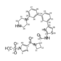 CS(=O)(=O)n1ccc(C(=O)N2CC[C@H]2C(=O)Nc2nc(-c3cccc(-c4cccc(N5CCNCC5)c4)c3)cs2)c1